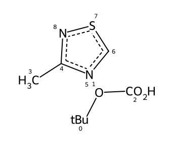 CC(C)(C)OC(=O)O.Cc1ncsn1